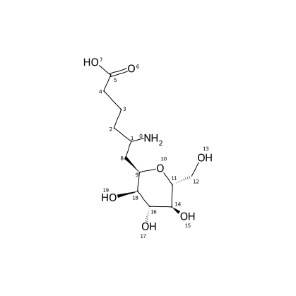 NC(CCCC(=O)O)C[C@H]1O[C@H](CO)[C@@H](O)[C@H](O)[C@H]1O